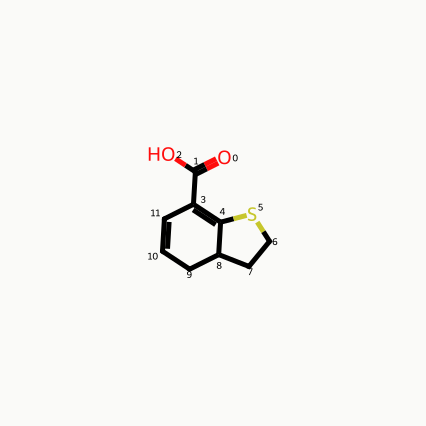 O=C(O)C1=C2SCCC2CC=C1